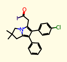 CC1(C)Cc2c(-c3ccccc3)c(-c3ccc(Cl)cc3)c(CC(=O)I)n2C1